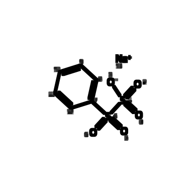 O=S(=O)([O-])S(=O)(=O)c1ccccc1.[Na+]